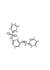 O=S(=O)(Oc1cc[c]c(NCc2ccccc2)c1)c1ccccc1